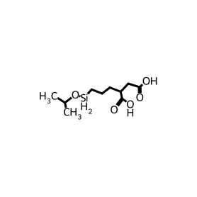 CC(C)O[SiH2]CCCC(CC(=O)O)C(=O)O